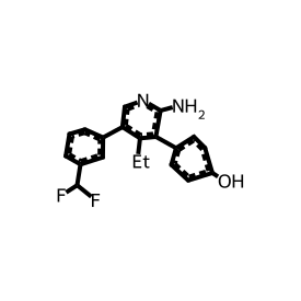 CCc1c(-c2cccc(C(F)F)c2)cnc(N)c1-c1ccc(O)cc1